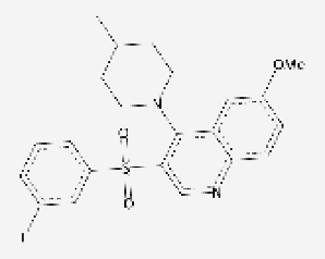 COc1ccc2ncc(S(=O)(=O)c3cccc(F)c3)c(N3CCC(C)CC3)c2c1